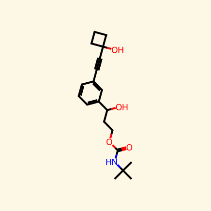 CC(C)(C)NC(=O)OCCC(O)c1cccc(C#CC2(O)CCC2)c1